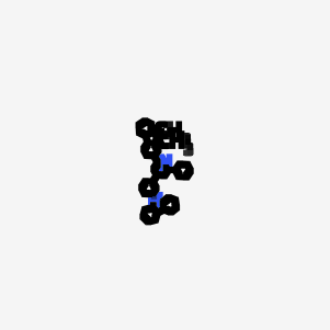 CC1(C)c2ccccc2-c2ccc(-c3cc(-c4cccc(-n5c6ccccc6c6ccccc65)c4)cc(-c4ccccc4)n3)cc21